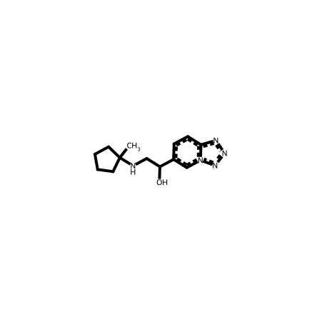 CC1(NCC(O)c2ccc3nnnn3c2)CCCC1